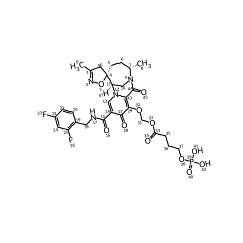 CC1=NO[C@@]2(CC[C@H](C)N3C[C@H]2n2cc(C(=O)NCc4ccc(F)cc4F)c(=O)c(OCOC(=O)CCCOP(=O)(O)O)c2C3=O)C1